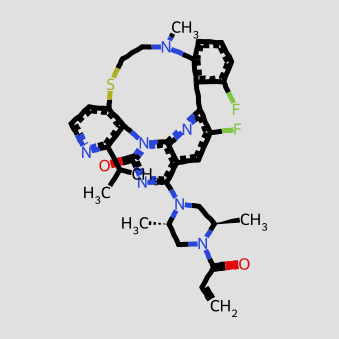 C=CC(=O)N1C[C@H](C)N(c2nc(=O)n3c4nc(c(F)cc24)-c2c(F)cccc2N(C)CCSc2ccnc(C(C)C)c2-3)C[C@H]1C